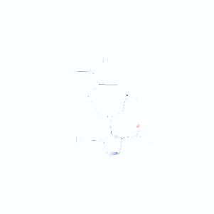 CN(C)C1CCN(c2c([N+](=O)[O-])cnn2C)CC(F)(F)C1